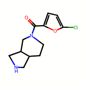 O=C(c1ccc(Cl)o1)N1CCC2CNCC2C1